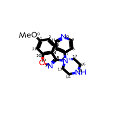 COc1ccc2c([N+]3(c4ccncc4)CCNCC3)noc2c1